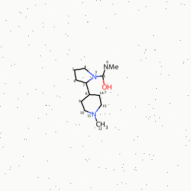 CNC(O)N1CCCC1C1CCN(C)CC1